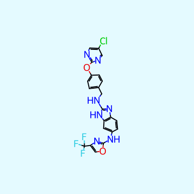 FC(F)(F)c1coc(Nc2ccc3nc(NCc4ccc(Oc5ncc(Cl)cn5)cc4)[nH]c3c2)n1